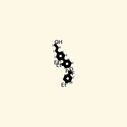 CCc1ccc(C(F)(F)Oc2ccc(-c3ccc(CCCO)cc3CC)c(CC)c2)cc1